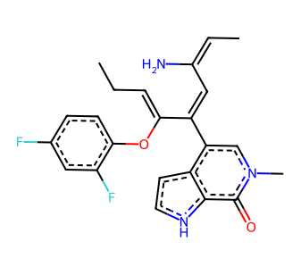 C\C=C(N)/C=C(\C(=C\CC)Oc1ccc(F)cc1F)c1cn(C)c(=O)c2[nH]ccc12